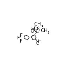 [C-]#[N+]c1cc(-c2ccc(C(F)(F)F)cc2)cc(C(CC(C)C)C(=O)OCC)c1